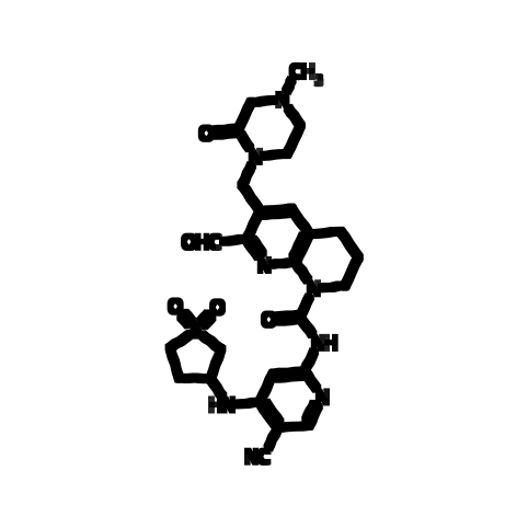 CN1CCN(Cc2cc3c(nc2C=O)N(C(=O)Nc2cc(NC4CCS(=O)(=O)C4)c(C#N)cn2)CCC3)C(=O)C1